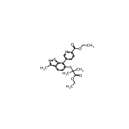 CCOC(=O)c1ccc(-c2c(SC(C)(C)C(=O)OCC)ccc3c(C)nsc23)cn1